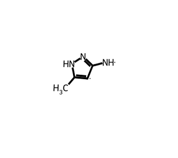 Cc1[c]c([NH])n[nH]1